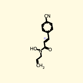 C=CCN(O)C(=O)/C=C/c1ccc(C#N)cc1